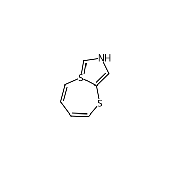 C1=CSC2=CNC=S2C=C1